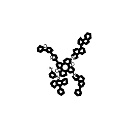 CC(C)c1cccc(N(c2c3ccccc3c(-c3ccccc3)c3ccccc23)c2ccc3c4cc(N5C=c6ccc7ccc(-c8ccccc8)cc7c6=CC5)cc5oc6c(N7C=c8ccc9c(-c%10cccc%11c%10ccc%10ccccc%10%11)cccc9c8=CC7)ccc(c7cc(-c8ccc(-c9ccc%10oc%11ccccc%11c%10c9)nc8)cc8oc2c3c87)c6c54)c1